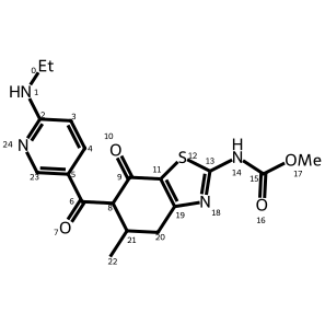 CCNc1ccc(C(=O)C2C(=O)c3sc(NC(=O)OC)nc3CC2C)cn1